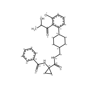 CC(O)C(=O)c1c(Cl)cccc1N1CCC(CNC(=O)C2(NC(=O)c3ccccn3)CC2)CC1